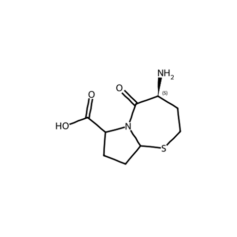 N[C@H]1CCSC2CCC(C(=O)O)N2C1=O